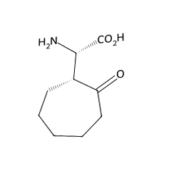 N[C@H](C(=O)O)[C@H]1CCCCCC1=O